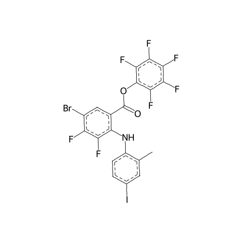 Cc1cc(I)ccc1Nc1c(C(=O)Oc2c(F)c(F)c(F)c(F)c2F)cc(Br)c(F)c1F